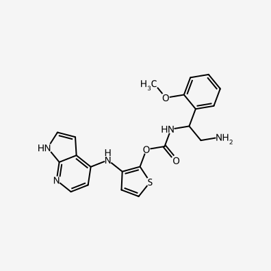 COc1ccccc1C(CN)NC(=O)Oc1sccc1Nc1ccnc2[nH]ccc12